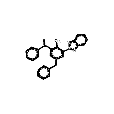 CC(c1ccccc1)c1cc(Cc2ccccc2)cc(-n2nc3ccccc3n2)c1O